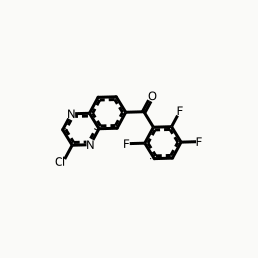 O=C(c1ccc2ncc(Cl)nc2c1)c1c(F)[c]cc(F)c1F